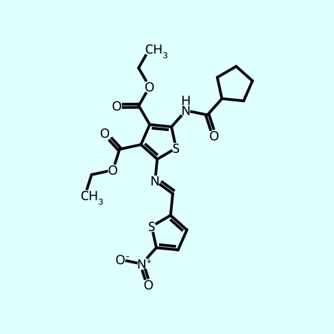 CCOC(=O)c1c(N=Cc2ccc([N+](=O)[O-])s2)sc(NC(=O)C2CCCC2)c1C(=O)OCC